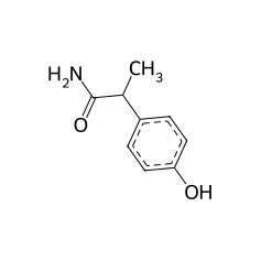 CC(C(N)=O)c1ccc(O)cc1